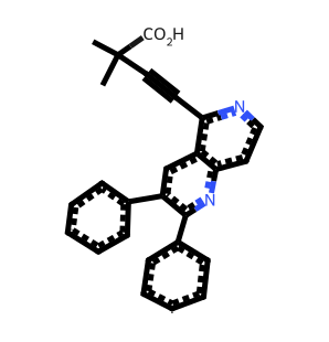 CC(C)(C#Cc1nccc2nc(-c3cc[c]cc3)c(-c3ccccc3)cc12)C(=O)O